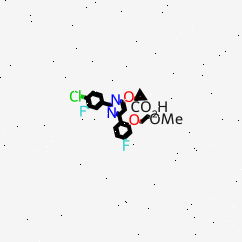 COCCOc1cc(F)ccc1-c1cc(OC2(C(=O)O)CC2)nc(-c2ccc(Cl)c(F)c2)n1